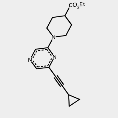 CCOC(=O)C1CCN(c2cncc(C#CC3CC3)n2)CC1